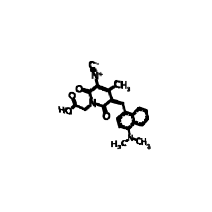 [C-]#[N+]C1=C(C)/C(=C/c2ccc(N(C)C)c3ccccc23)C(=O)N(CC(=O)O)C1=O